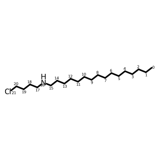 CCCCCCCCCCCCCCCCNCCCCCl